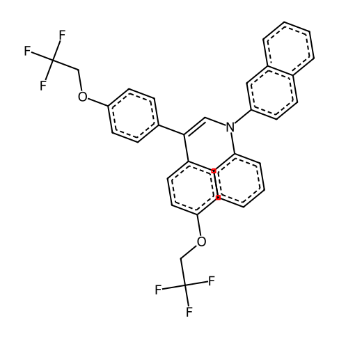 FC(F)(F)COc1ccc(C(=CN(c2ccccc2)c2ccc3ccccc3c2)c2ccc(OCC(F)(F)F)cc2)cc1